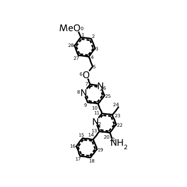 COc1ccc(COc2ncc(-c3nc(-c4ccccc4)c(N)cc3C)cn2)cc1